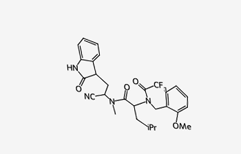 COc1ccccc1CN(C(=O)C(F)(F)F)C(CC(C)C)C(=O)N(C)C(C#N)CC1C(=O)Nc2ccccc21